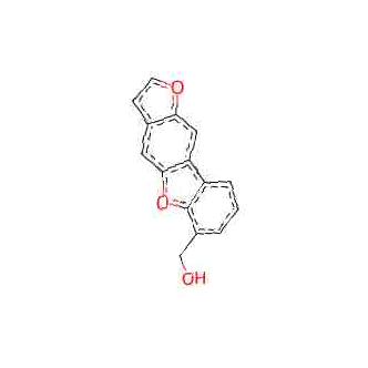 OCc1cccc2c1oc1cc3ccoc3cc12